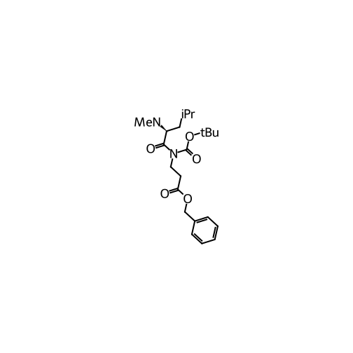 CN[C@@H](CC(C)C)C(=O)N(CCC(=O)OCc1ccccc1)C(=O)OC(C)(C)C